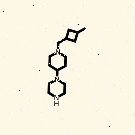 CC1CC(CN2CCC(N3CCNCC3)CC2)C1